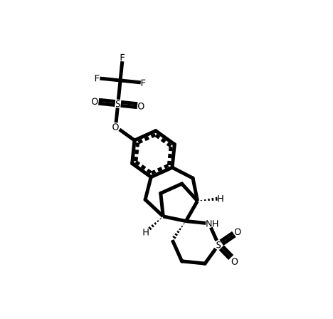 O=S1(=O)CCC[C@]2(N1)[C@@H]1CC[C@H]2Cc2ccc(OS(=O)(=O)C(F)(F)F)cc2C1